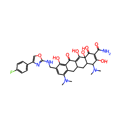 CN(C)c1cc(CNc2nc(-c3ccc(F)cc3)co2)c(O)c2c1CC1CC3C(N(C)C)C(O)=C(C(N)=O)C(=O)C3(O)C(O)=C1C2=O